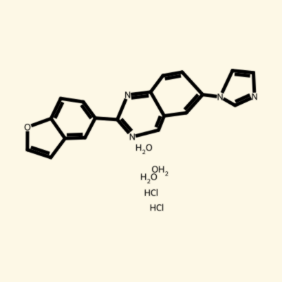 Cl.Cl.O.O.O.c1cn(-c2ccc3nc(-c4ccc5occc5c4)ncc3c2)cn1